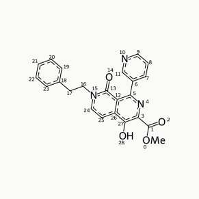 COC(=O)c1nc(-c2cccnc2)c2c(=O)n(CCc3ccccc3)ccc2c1O